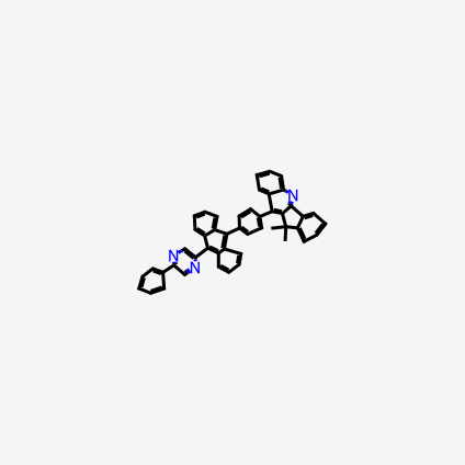 CC1(C)c2ccccc2-c2nc3ccccc3c(-c3ccc(-c4c5ccccc5c(-c5cnc(-c6ccccc6)cn5)c5ccccc45)cc3)c21